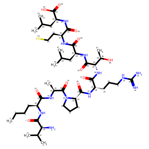 CCCC[C@H](NC(=O)[C@@H](N)C(C)C)C(=O)N[C@@H](C)C(=O)N1CCC[C@H]1C(=O)N[C@@H](CCCNC(=N)N)C(=O)N[C@H](C(=O)N[C@@H](CC(C)C)C(=O)N[C@@H](CCS)C(=O)N[C@@H](CC(C)C)C(=O)O)[C@@H](C)O